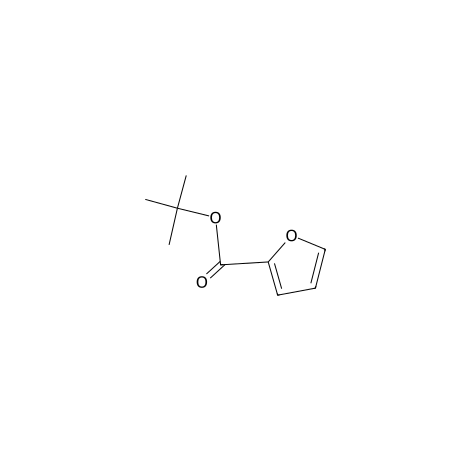 CC(C)(C)OC(=O)c1ccco1